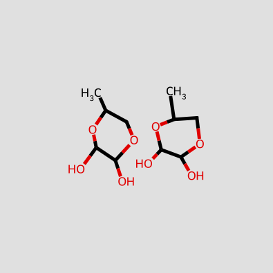 CC1COC(O)C(O)O1.CC1COC(O)C(O)O1